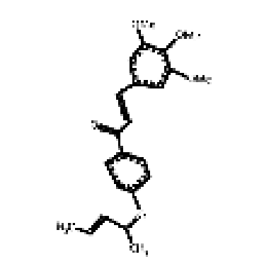 C/C=C/C(C)Oc1ccc(C(=O)/C=C/c2cc(OC)c(OC)c(OC)c2)cc1